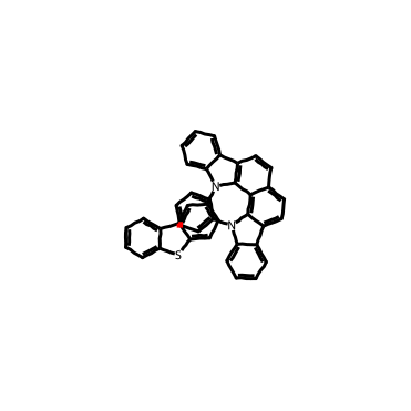 c1ccc(-n2c3ccccc3c3ccc4ccc5c6ccccc6n(-c6ccc7sc8ccccc8c7c6)c5c4c32)cc1